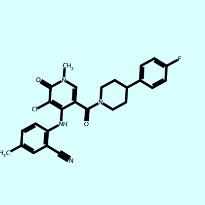 Cc1ccc(Nc2c(C(=O)N3CCC(c4ccc(F)cc4)CC3)cn(C)c(=O)c2Cl)c(C#N)c1